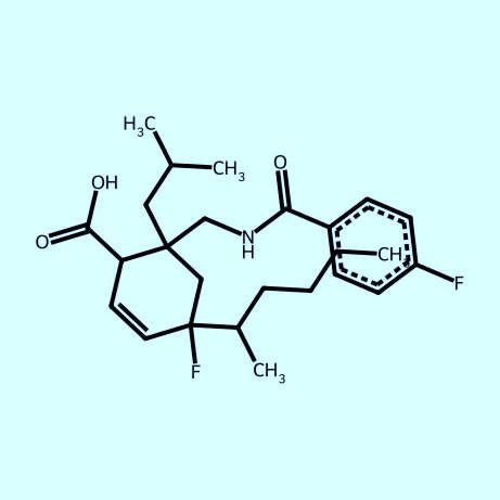 CCCCC(C)C1(F)C=CC(C(=O)O)C(CNC(=O)c2ccc(F)cc2)(CC(C)C)C1